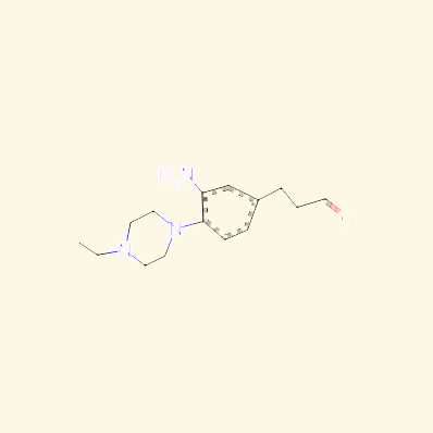 CCN1CCN(c2ccc(CCC=O)cc2N)CC1